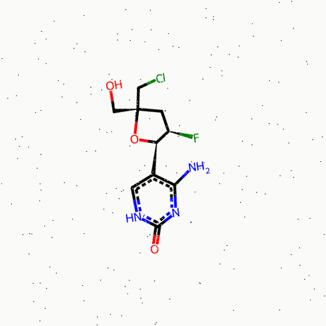 Nc1nc(=O)[nH]cc1[C@H]1O[C@](CO)(CCl)[CH][C@H]1F